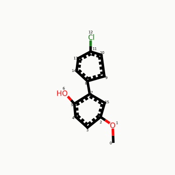 COc1ccc(O)c(-c2ccc(Cl)cc2)c1